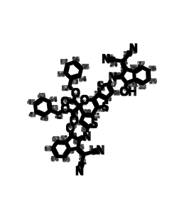 N#CC(C#N)=C1/C(=N/c2cc3c(s2)-c2sc4cc(/N=C5/C(=C(C#N)C#N)c6ccccc6C5O)sc4c2OC3(C(=O)OCc2ccccc2)C(=O)OCc2ccccc2)C(=O)c2ccccc21